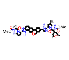 CC[C@H]1C[C@@H](c2ncc(-c3ccc4c(c3)COc3cc5c(ccc6nc([C@@H]7CC[C@H](C)N7C(=O)[C@@H](NC(=O)OC)C(C)C)[nH]c65)cc3-4)[nH]2)N(C(=O)[C@@H](NC(=O)OC)C2C[C@@H](C)O[C@H](C)C2)C1